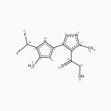 Cc1sc(-c2cnn(C)c2C(=O)CO)nc1C(F)F